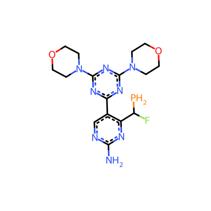 Nc1ncc(-c2nc(N3CCOCC3)nc(N3CCOCC3)n2)c(C(F)P)n1